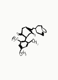 Cc1cc(C)c(C2C(=O)CC(=CC3CCOCC3)C2=O)c(C)c1